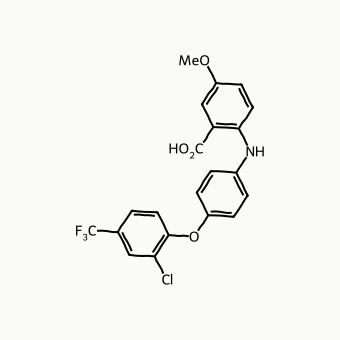 COc1ccc(Nc2ccc(Oc3ccc(C(F)(F)F)cc3Cl)cc2)c(C(=O)O)c1